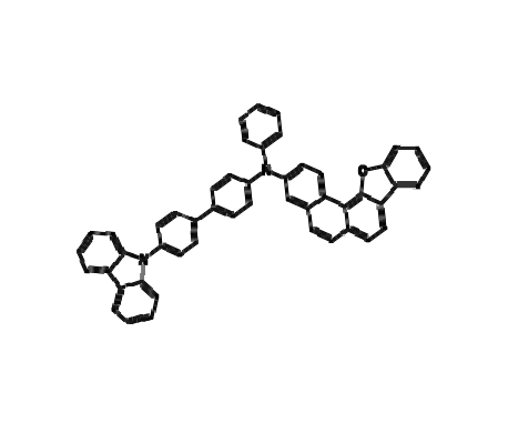 c1ccc(N(c2ccc(-c3ccc(-n4c5ccccc5c5ccccc54)cc3)cc2)c2ccc3c(ccc4ccc5c6ccccc6oc5c43)c2)cc1